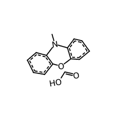 CN1c2ccccc2Oc2ccccc21.O=CO